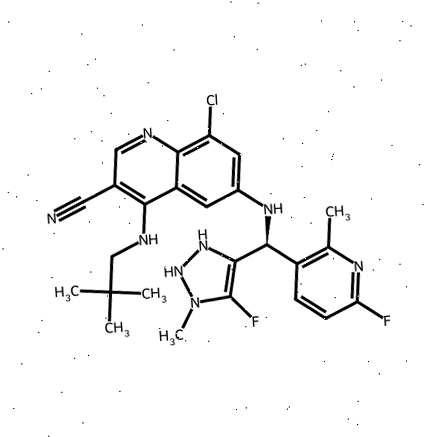 Cc1nc(F)ccc1[C@H](Nc1cc(Cl)c2ncc(C#N)c(NCC(C)(C)C)c2c1)C1=C(F)N(C)NN1